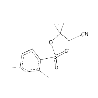 Cc1ccc(S(=O)(=O)OC2(CC#N)CC2)c(C)c1